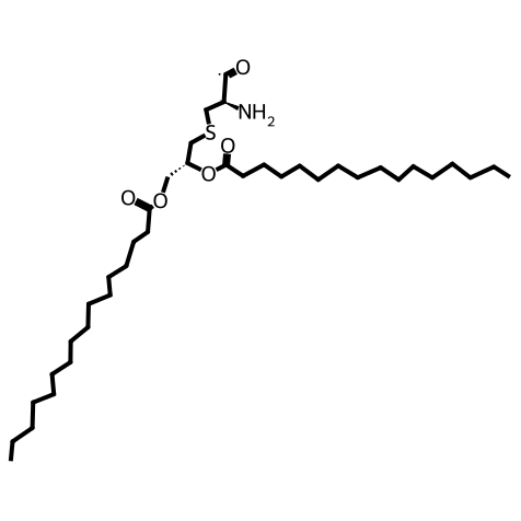 CCCCCCCCCCCCCCCC(=O)OC[C@H](CSC[C@H](N)[C]=O)OC(=O)CCCCCCCCCCCCCCC